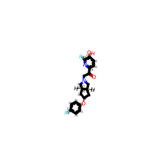 O=C(CN1C[C@H]2C[C@@H](Oc3ccc(F)cc3)C[C@H]2C1)c1ccc(O)c(F)n1